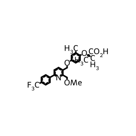 COCc1nc(-c2ccc(C(F)(F)F)cc2)ccc1COc1ccc(OC(C)(C)C(=O)O)c(C)c1